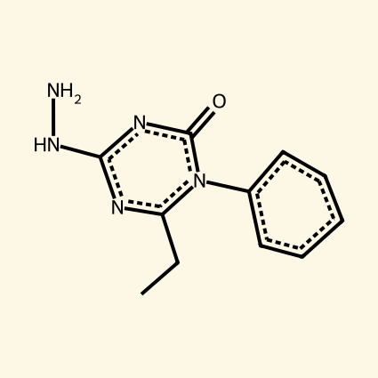 CCc1nc(NN)nc(=O)n1-c1ccccc1